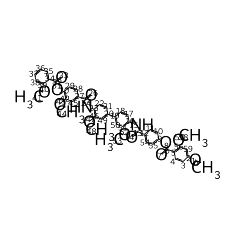 COc1ccc(C(=O)Oc2ccc(C(=O)Nc3ccc(-c4ccc(NC(=O)c5ccc(OC(=O)c6ccccc6OC)c(OC)c5)c(OC)c4)cc3OC)cc2)c(OC)c1